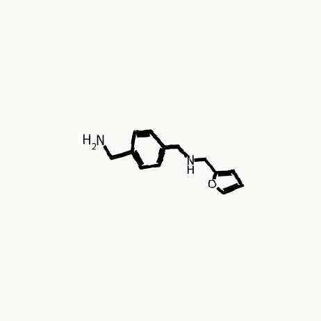 NCc1ccc(CNCc2ccco2)cc1